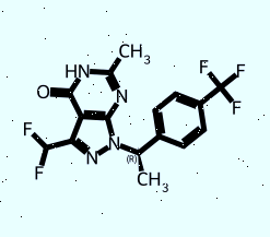 Cc1nc2c(c(C(F)F)nn2[C@H](C)c2ccc(C(F)(F)F)cc2)c(=O)[nH]1